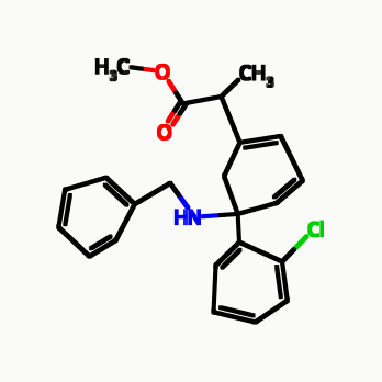 COC(=O)C(C)C1=CC=CC(NCc2ccccc2)(c2ccccc2Cl)C1